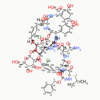 CC(C)C[C@H](NC(=O)OCc1ccccc1)C(=O)N[C@H]1C(=O)N[C@@H](CC(N)=O)C(=O)N[C@H]2C(=O)N[C@H]3C(=O)N[C@H](C(=O)N[C@H](C(=O)O)c4cc(O)cc(O)c4-c4cc3ccc4O)[C@H](O)c3ccc(c(Cl)c3)Oc3cc2cc(c3OC2O[C@H](CO)[C@@H](O)[C@H](O)C2O[C@H]2C[C@](C)(N)[C@H](O)[C@H](C)O2)Oc2ccc(cc2Cl)[C@H]1O